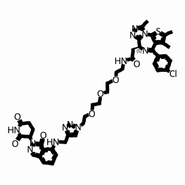 Cc1sc2c(c1C)C(c1ccc(Cl)cc1)=N[C@@H](CC(=O)NCCOCCOCCOCCn1cc(CNc3cccc4cnn(C5CCC(=O)NC5=O)c(=O)c34)nn1)c1nnc(C)n1-2